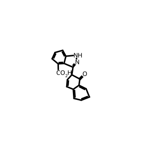 O=C(O)c1cccc2[nH]nc(C3C=Cc4ccccc4C3=O)c12